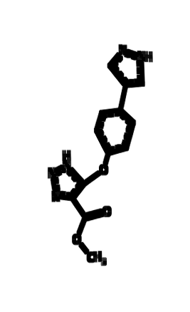 COC(=O)c1nn[nH]c1Oc1ccc(-c2cn[nH]c2)cc1